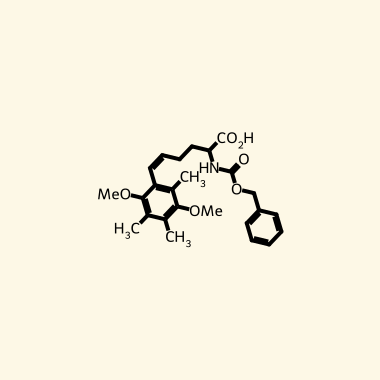 COc1c(C)c(C)c(OC)c(/C=C\CCC(NC(=O)OCc2ccccc2)C(=O)O)c1C